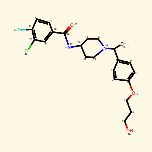 CC(c1ccc(OCCCO)cc1)N1CCC(NC(=O)c2ccc(F)c(Cl)c2)CC1